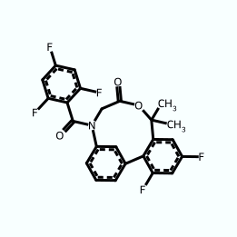 CC1(C)OC(=O)CN(C(=O)c2c(F)cc(F)cc2F)c2cccc(c2)-c2c(F)cc(F)cc21